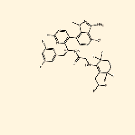 Cc1ccc(-c2ccc(Cl)c3c(N)nn(C)c23)c([C@H](Cc2cc(F)cc(F)c2)NC(=O)CNC2=C(CC(F)F)C(F)(F)CCC2(F)F)n1